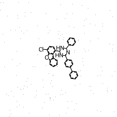 Clc1ccc(C2NC(c3ccc(-c4ccccc4)cc3)=NC(c3ccccc3)N2)c2c1oc1ccccc12